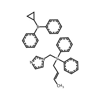 CC=CC[Si](Cn1ccnc1)(c1ccccc1)c1ccccc1.c1ccc(B(c2ccccc2)C2CC2)cc1